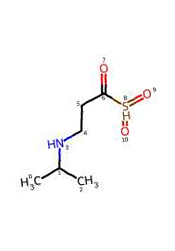 CC(C)NCCC(=O)[SH](=O)=O